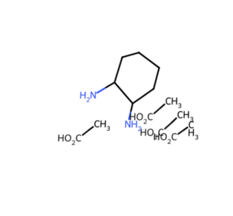 CC(=O)O.CC(=O)O.CC(=O)O.CC(=O)O.NC1CCCCC1N